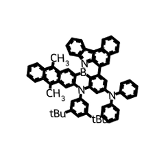 Cc1c2ccccc2c(C)c2cc3c(cc12)B1c2c(cc(N(c4ccccc4)c4ccccc4)cc2N3c2cc(C(C)(C)C)cc(C(C)(C)C)c2)-c2cc3ccccc3c3c4ccccc4n1c23